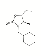 CC[C@H]1OC(=O)N(CC2CCCCC2)[C@@H]1C